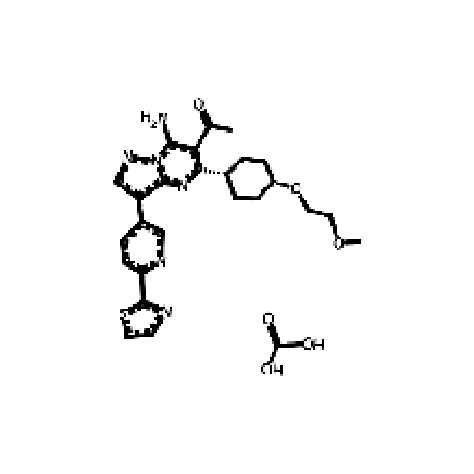 COCCO[C@H]1CC[C@H](c2nc3c(-c4ccc(-c5nccs5)nc4)cnn3c(N)c2C(C)=O)CC1.O=C(O)O